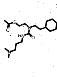 CC(=O)SCCN(CCC1CCCCC1)C(=O)NCCCN(C)C